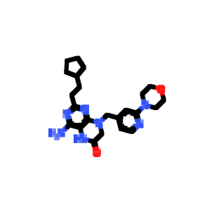 Nc1nc(CCC2CCCC2)nc2c1NC(=O)CN2Cc1ccnc(N2CCOCC2)c1